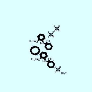 C1=C\CC/C=C\CC/1.COc1ccccc1PC1(C)CCCCC1.COc1ccccc1PC1(C)CCCCC1.F[B-](F)(F)F.F[B-](F)(F)F.F[B-](F)(F)F.[Rh+3]